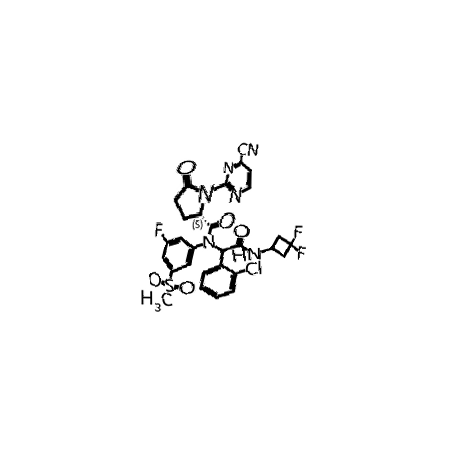 CS(=O)(=O)c1cc(F)cc(N(C(=O)[C@@H]2CCC(=O)N2c2nccc(C#N)n2)C(C(=O)NC2CC(F)(F)C2)c2ccccc2Cl)c1